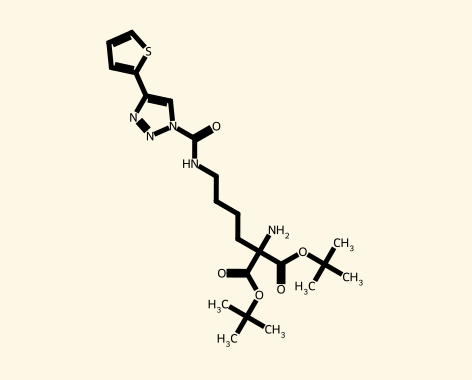 CC(C)(C)OC(=O)C(N)(CCCCNC(=O)n1cc(-c2cccs2)nn1)C(=O)OC(C)(C)C